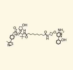 Cc1ncsc1-c1ccc(CNC(=O)[C@@H]2C[C@@H](O)CN2C(=O)C(NC(=O)CCCCCCCCC(=O)N[C@H]2C[C@H](Oc3cc(-c4ccccc4O)nnc3N)C2)C(C)(C)C)cc1